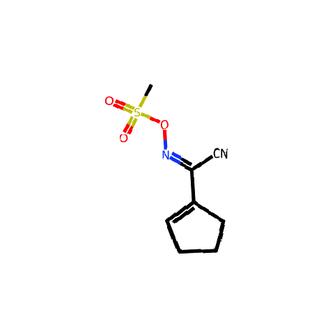 CS(=O)(=O)ON=C(C#N)C1=CCCC1